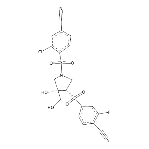 N#Cc1ccc(S(=O)(=O)N2C[C@H](S(=O)(=O)c3ccc(C#N)c(F)c3)[C@@](O)(CO)C2)c(Cl)c1